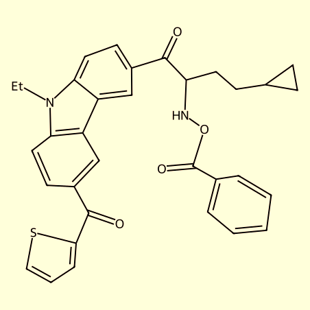 CCn1c2ccc(C(=O)c3cccs3)cc2c2cc(C(=O)C(CCC3CC3)NOC(=O)c3ccccc3)ccc21